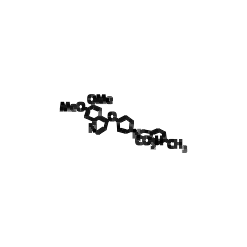 COc1cc2nccc(Oc3ccc(N(Cc4ccc(C)cc4)C(=O)O)cc3)c2cc1OC